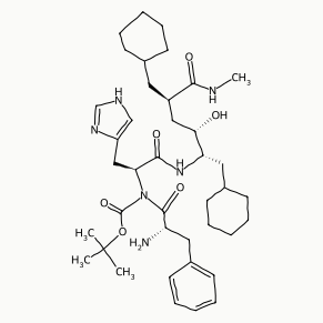 CNC(=O)[C@H](CC1CCCCC1)C[C@H](O)[C@H](CC1CCCCC1)NC(=O)[C@H](Cc1c[nH]cn1)N(C(=O)OC(C)(C)C)C(=O)[C@@H](N)Cc1ccccc1